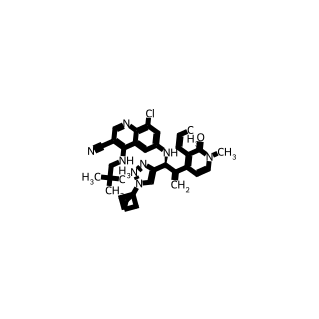 C=C(c1ccn(C)c(=O)c1/C=C\C)[C@H](Nc1cc(Cl)c2ncc(C#N)c(NCC(C)(C)C)c2c1)c1cn(C23CC(C2)C3)nn1